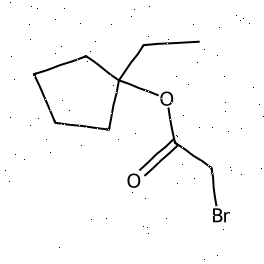 CCC1(OC(=O)CBr)CCCC1